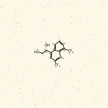 OC[C@H](O)c1cc(C(F)(F)F)nc2c(C(F)(F)F)cccc12